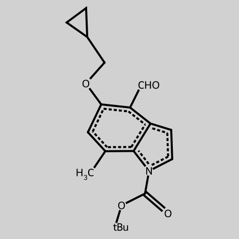 Cc1cc(OCC2CC2)c(C=O)c2ccn(C(=O)OC(C)(C)C)c12